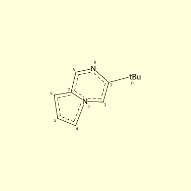 CC(C)(C)c1cn2cccc2cn1